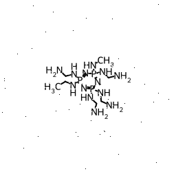 CCNP1(NCN)=NP(NC)(NCN)=NP(NCN)(NCN)=N1